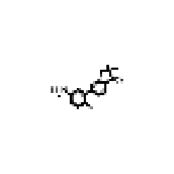 Cc1ccc(N)cc1-c1ccc2c(c1)CC(C)(C)C2=O